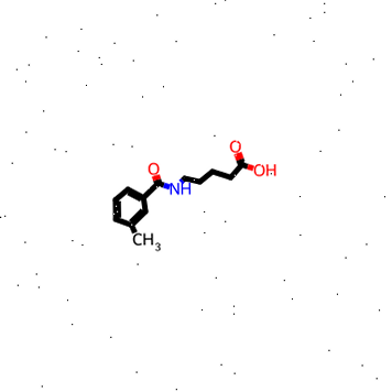 Cc1cccc(C(=O)NCCCCC(=O)O)c1